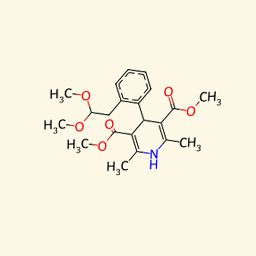 COC(=O)C1=C(C)NC(C)=C(C(=O)OC)C1c1ccccc1CC(OC)OC